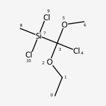 CCOC(Cl)(OC)[Si](C)(Cl)Cl